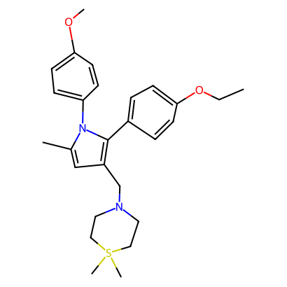 CCOc1ccc(-c2c(CN3CCS(C)(C)CC3)cc(C)n2-c2ccc(OC)cc2)cc1